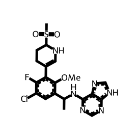 COc1c(C(C)Nc2ncnc3[nH]cnc23)cc(Cl)c(F)c1C1=CNC(S(C)(=O)=O)CC1